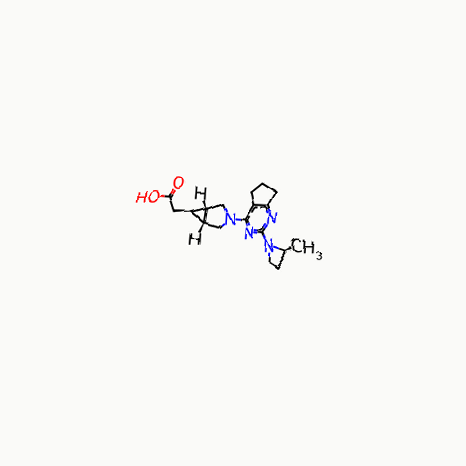 C[C@H]1CCN1c1nc2c(c(N3C[C@@H]4[C@@H](CC(=O)O)[C@@H]4C3)n1)CCC2